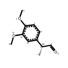 COc1ccc([C@@H](C)C=O)cc1OC